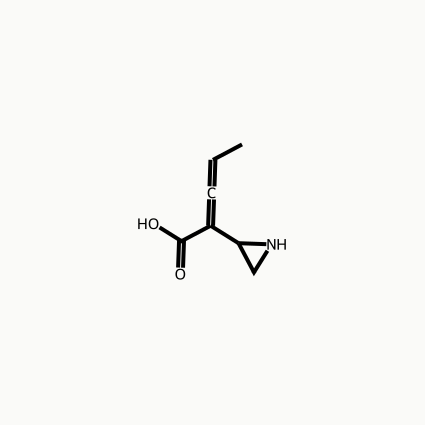 CC=C=C(C(=O)O)C1CN1